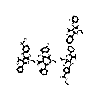 CCOC(=O)c1ccc(Nc2c(C(C)=O)c(-c3ccccc3)nn(CC)c2=O)cc1.CCn1nc(-c2ccccc2)c(C(C)=O)c(Nc2ccc(F)cc2)c1=O.CCn1nc(-c2ccccc2)c(C(C)=O)c(Nc2cccc(C(=O)O)c2)c1=O.CCn1nc(-c2ccccc2)c(C(C)=O)c(Nc2ccccc2F)c1=O